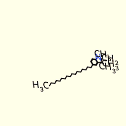 C=C1N(C)c2ccc(CCCCCCCCCCCCCCCCCC)cc2C1(C)C